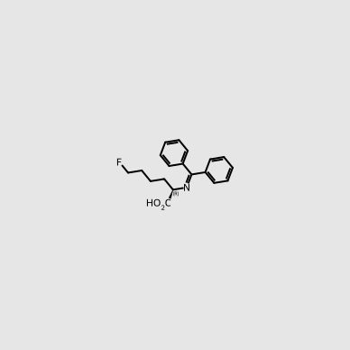 O=C(O)[C@@H](CCCCF)N=C(c1ccccc1)c1ccccc1